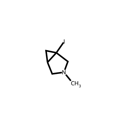 CN1CC2CC2(I)C1